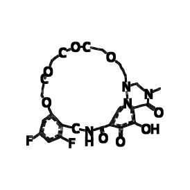 CN1CN2CCOCCOCCOCCOc3cc(F)cc(F)c3CNC(=O)c3cn2c(c(O)c3=O)C1=O